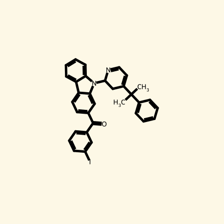 CC(C)(C1=CC=NC(n2c3ccccc3c3ccc(C(=O)c4cccc(I)c4)cc32)C1)c1ccccc1